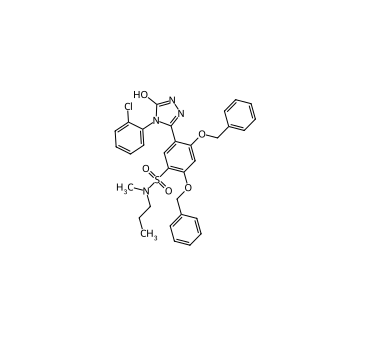 CCCN(C)S(=O)(=O)c1cc(-c2nnc(O)n2-c2ccccc2Cl)c(OCc2ccccc2)cc1OCc1ccccc1